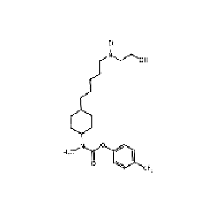 CCN(CCO)CCCCCC1CCC(N(C)C(=O)Oc2ccc(C(F)(F)F)cc2)CC1